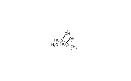 C.O.O=S(=O)(O)O.O=S(=O)(O)O